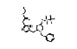 CCOC(=O)Cc1ncc(CC2CC(O[Si](C)(C)C(C)(C)C)CN2Cc2ccccc2)[nH]1